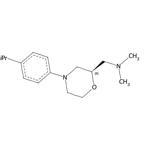 CC(C)c1ccc(N2CCO[C@H](CN(C)C)C2)cc1